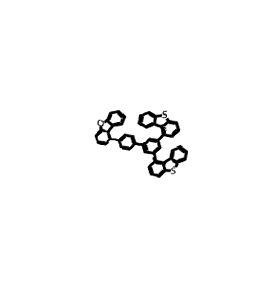 c1ccc2c(c1)oc1cccc(-c3ccc(-c4cc(-c5cccc6sc7ccccc7c56)cc(-c5cccc6sc7ccccc7c56)c4)cc3)c12